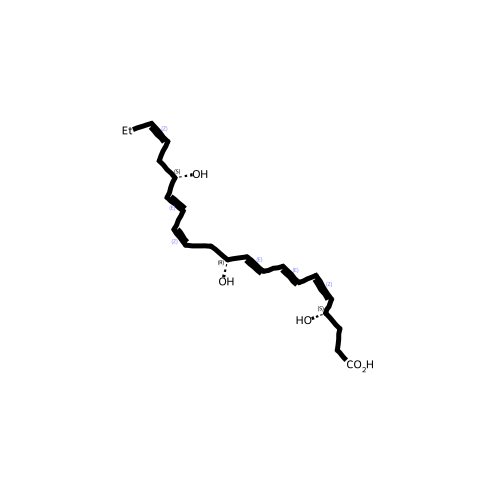 CC/C=C\C[C@H](O)/C=C/C=C\C[C@@H](O)/C=C/C=C/C=C\[C@@H](O)CCC(=O)O